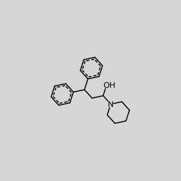 OC(CC(c1ccccc1)c1ccccc1)N1CCCCC1